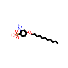 CCCCCCCCCCCOc1ccc(S(=O)(=O)O)c(N)c1